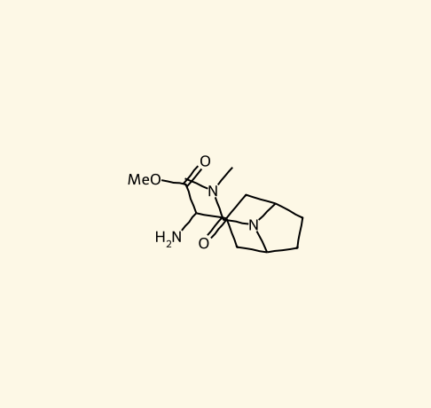 COC(=O)C(N)C1CC2CCC(C1)N2C(=O)N(C)C